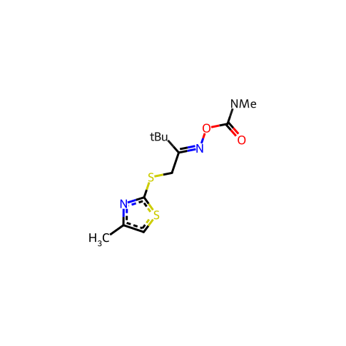 CNC(=O)O/N=C(/CSc1nc(C)cs1)C(C)(C)C